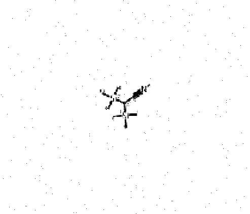 C[Si](C)(C)C(C#N)[Si](C)(C)C